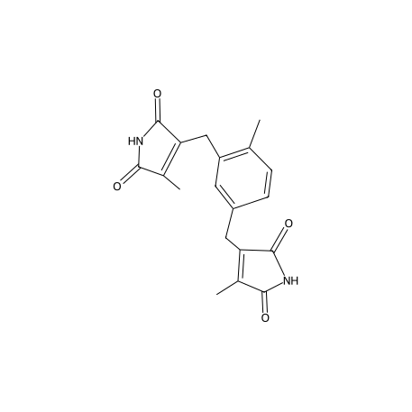 CC1=C(Cc2ccc(C)c(CC3=C(C)C(=O)NC3=O)c2)C(=O)NC1=O